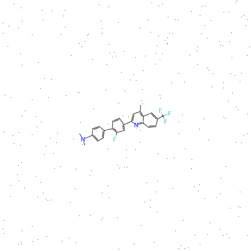 Cc1cc(-c2ccc(-c3ccc(N(C)C)cc3)c(F)c2)nc2ccc(C(F)(F)F)cc12